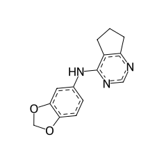 c1nc2c(c(Nc3ccc4c(c3)OCO4)n1)CCC2